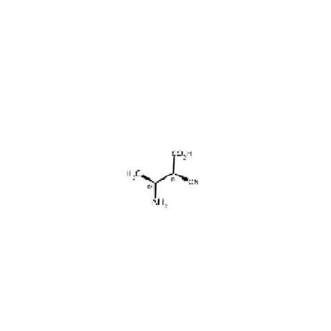 C[C@H](N)[C@H](C#N)C(=O)O